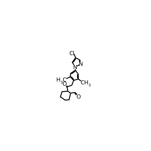 Cc1cc(-n2cc(Cl)cn2)cc(C)c1CC(=O)C1CCCCC1C=O